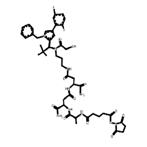 CC(NC(=O)CCCC(=O)ON1C(=O)CCC1=O)C(=O)NC(CC(=O)NC(CC(=O)NCCCN(C(=O)CO)C(c1cc(-c2cc(F)ccc2F)cn1Cc1ccccc1)C(C)(C)C)C(N)=O)C(N)=O